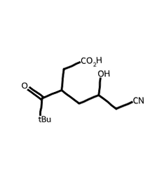 CC(C)(C)C(=O)C(CC(=O)O)CC(O)CC#N